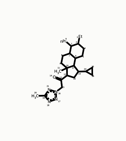 CCCC1C(CC)CCC2C1CCC1(C)C(C(=O)Cn3nnc(C)n3)CC(C3CC3)C21